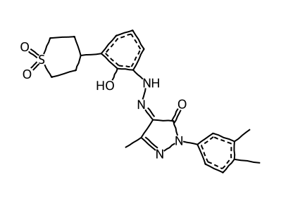 CC1=NN(c2ccc(C)c(C)c2)C(=O)C1=NNc1cccc(C2CCS(=O)(=O)CC2)c1O